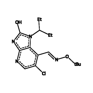 CCC(CC)n1c(O)nc2ncc(Cl)c(C=NOC(C)(C)C)c21